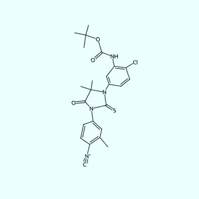 [C-]#[N+]c1ccc(N2C(=O)C(C)(C)N(c3ccc(Cl)c(NC(=O)OC(C)(C)C)c3)C2=S)cc1C